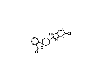 O=C1O[C@]2(CC[C@H](c3nc4nc(Cl)ncc4[nH]3)CC2)c2ccccc21